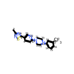 Cc1nsc(-c2ccc(N3CCN(c4cccc(C(F)(F)F)c4)CC3)nc2)n1